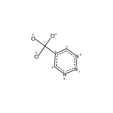 ClC(Cl)(Cl)c1cnnnc1